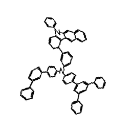 C1=Cc2c(c3cc4ccccc4cc3n2-c2ccccc2)C(c2cccc(N(c3ccc(-c4cccc(-c5ccccc5)c4)cc3)c3ccc(-c4cc(-c5ccccc5)cc(-c5ccccc5)c4)cc3)c2)C1